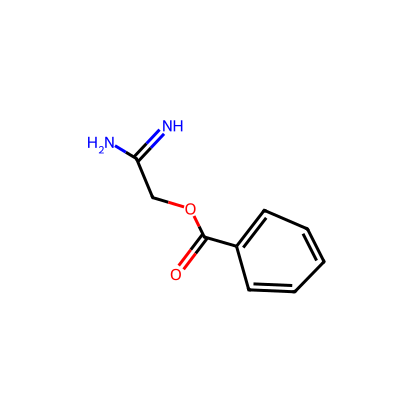 N=C(N)COC(=O)c1ccccc1